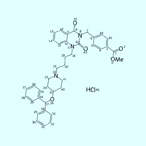 COC(=O)c1ccc(Cn2c(=O)c3ccccc3n(CCCCN3CCC(OC(c4ccccc4)c4ccccc4)CC3)c2=O)cc1.Cl